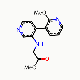 COC(=O)CNc1cnccc1-c1cccnc1OC